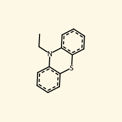 CCN1c2ccccc2Sc2ccccc21